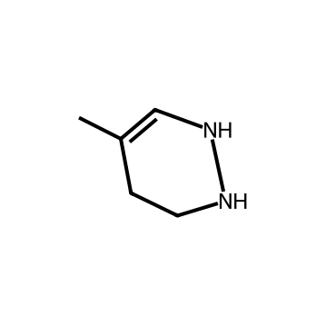 CC1=CNNCC1